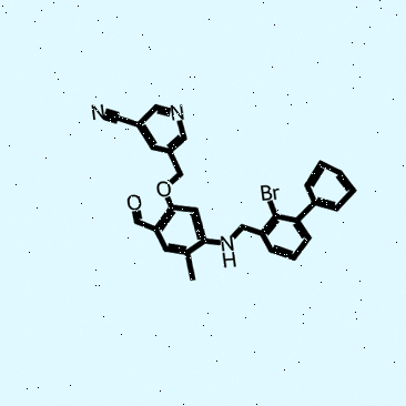 Cc1cc(C=O)c(OCc2cncc(C#N)c2)cc1NCc1cccc(-c2ccccc2)c1Br